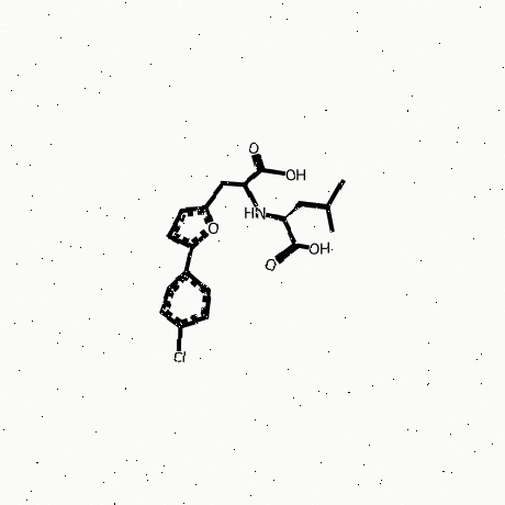 CC(C)C[C@H](NC(Cc1ccc(-c2ccc(Cl)cc2)o1)C(=O)O)C(=O)O